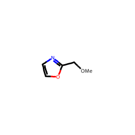 [CH2]OCc1ncco1